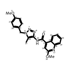 COc1ccc(Cn2nnc(NC(=O)c3cc(OC)nc4ccccc34)c2C)cc1